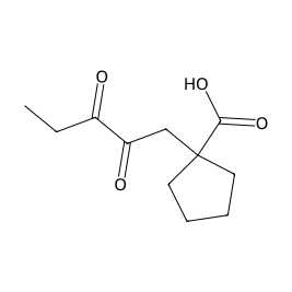 CCC(=O)C(=O)CC1(C(=O)O)CCCC1